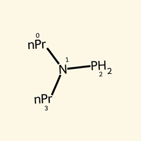 CCCN(P)CCC